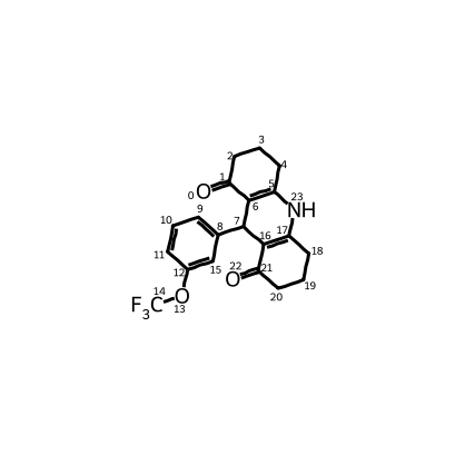 O=C1CCCC2=C1C(c1cccc(OC(F)(F)F)c1)C1=C(CCCC1=O)N2